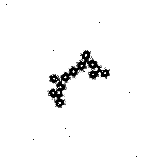 C(=C(c1ccccc1)c1ccccc1)c1ccc(N(c2ccccc2)c2ccc(-c3ccc(-c4ccc(N(c5ccccc5)c5ccc(C=C(c6ccccc6)c6ccccc6)cc5)cc4)cc3)cc2)cc1